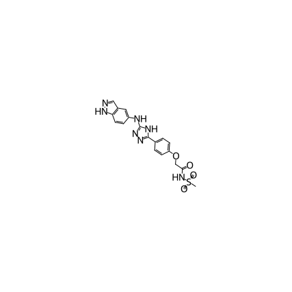 CS(=O)(=O)NC(=O)COc1ccc(-c2nnc(Nc3ccc4[nH]ncc4c3)[nH]2)cc1